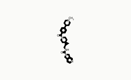 CN1CCC(c2ccc(C(=O)N3CCC4(CC3)CC4CNC(=O)N3Cc4ccncc4C3)cc2)CC1